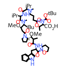 CCC(C)C(C(CC(=O)N1CCC[C@H]1C(OC)C(C)C(=O)NC(Cc1c[nH]c2ccccc12)C(=O)N1CCCCO1)OC)N(C)C(=O)C(NC(=O)C(C(C)C)N(C)CCCC(=O)OC(C)C(NC(=O)OC(C)(C)C)C(=O)O)C(C)C